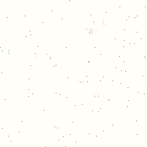 CCOC(=O)NCCOc1cc(Oc2ccc(C(F)(F)F)cc2Cl)ccc1[N+](=O)[O-]